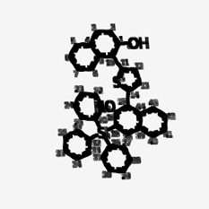 Oc1ccc2ccccc2c1-c1ccc(-c2c(O)c([Si](c3ccccc3)(c3ccccc3)c3ccccc3)cc3ccccc23)s1